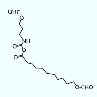 O=COCCCCCCCCCCC(=O)OC(=O)NCCCOC=O